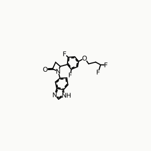 O=C1CC(c2c(F)cc(OCCC(F)F)cc2F)N1c1ccc2[nH]cnc2c1